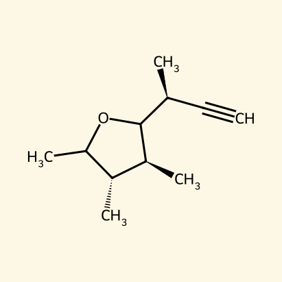 C#C[C@H](C)C1OC(C)[C@@H](C)[C@@H]1C